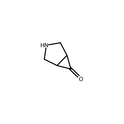 O=C1C2CNCC12